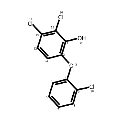 Oc1c(Oc2ccccc2Cl)ccc(Cl)c1Cl